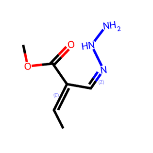 C/C=C(\C=N/NN)C(=O)OC